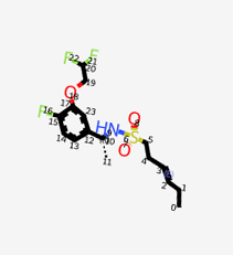 CC/C=C/CCS(=O)(=O)N[C@H](C)c1ccc(F)c(OCC(F)F)c1